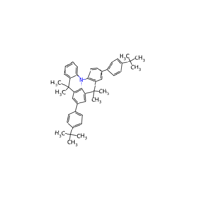 CC(C)(C)c1ccc(-c2ccc3c(c2)C(C)(C)c2cc(-c4ccc(C(C)(C)C)cc4)cc4c2N3c2ccccc2C4(C)C)cc1